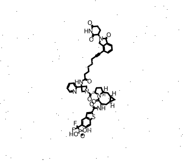 O=C1CCC(N2Cc3c(C#CCCCCCC(=O)NC4(c5ccccn5)CN(C(=O)[C@@H]5CC[C@@H]6C[C@H]7C[C@H]7C[C@H](NC(=O)c7cc8cc(C(F)(F)P(=O)(O)O)ccc8s7)C(=O)N65)C4)cccc3C2=O)C(=O)N1